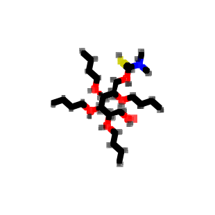 CCCCO[C@@H]([C@H](OCCCC)[C@@H](COC(=S)N(C)C)OCCCC)[C@@H](CO)OCCCC